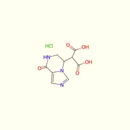 Cl.O=C1NCC(C(C(=O)O)C(=O)O)n2cncc21